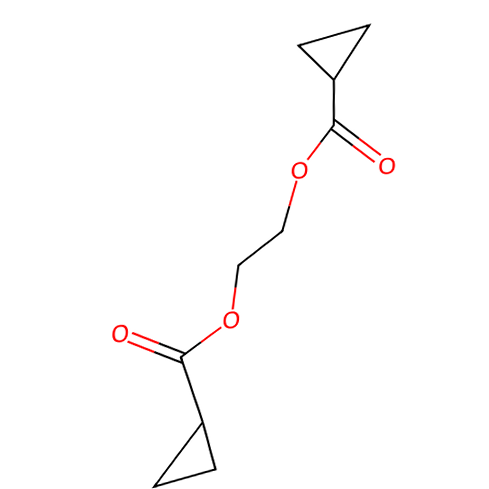 O=C(OCCOC(=O)C1CC1)C1CC1